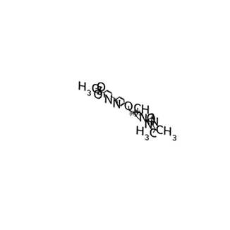 CC(C)c1noc(N2CC3[C@@H](COc4ccc(-c5ccc(S(C)(=O)=O)cn5)nc4)[C@]3(C)C2)n1